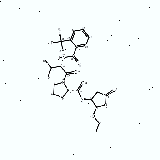 CCO[C@@H]1OC(=O)C[C@@H]1NC(=O)[C@@H]1CCCN1C(=O)[C@@H](NC(=O)c1ccccc1C(F)(F)F)C(C)C